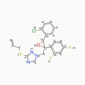 C=CCSc1ncn(CC2(c3ccc(F)cc3F)OC2c2ccccc2Cl)n1